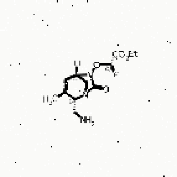 CCOC(=O)[C@H](F)ON1C(=O)N2C[C@@H]1C=C(C)[C@H]2CN